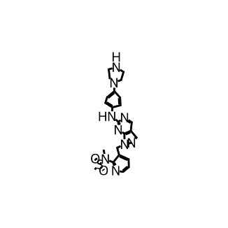 CN(c1ncccc1Cn1ncc2cnc(Nc3ccc(N4CCNCC4)cc3)nc21)S(C)(=O)=O